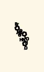 COc1ccc(NC(=O)c2cccc(S(=O)(=O)N(C)c3ccc(Br)cc3)c2)nc1